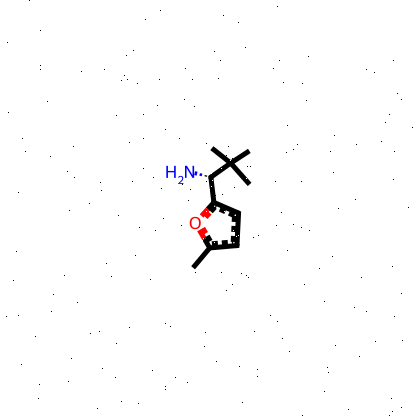 Cc1ccc([C@H](N)C(C)(C)C)o1